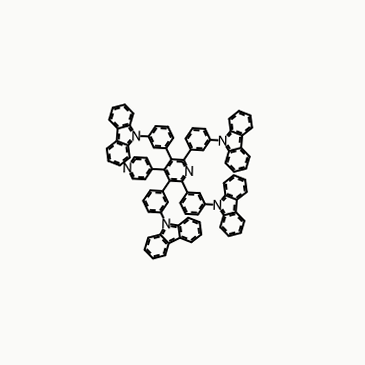 c1cc(-c2nc(-c3cccc(-n4c5ccccc5c5ccccc54)c3)c(-c3cccc(-n4c5ccccc5c5ccccc54)c3)c(-c3ccncc3)c2-c2cccc(-n3c4ccccc4c4ccccc43)c2)cc(-n2c3ccccc3c3ccccc32)c1